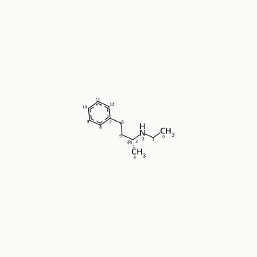 CCN[C@H](C)CCc1ccccc1